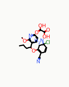 CCCC(OC1=C(C#N)C=CC(N)(Cl)C1)c1cccnc1OC.O=C(O)C(=O)O